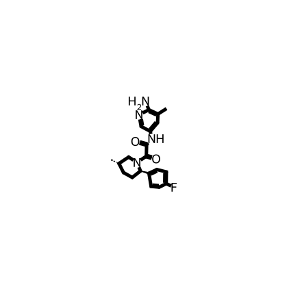 Cc1cc(NC(=O)C(=O)N2C[C@@H](C)CC[C@@H]2c2ccc(F)cc2)cnc1N